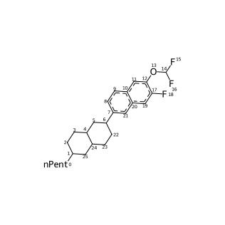 CCCCCC1CCC2CC(c3ccc4cc(OC(F)F)c(F)cc4c3)CCC2C1